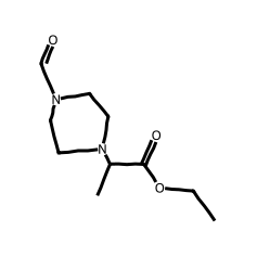 CCOC(=O)C(C)N1CCN(C=O)CC1